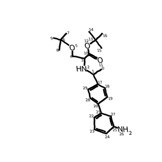 CC(NC(COC(C)(C)C)C(=O)OC(C)(C)C)c1ccc(-c2cccc(N)c2)cc1